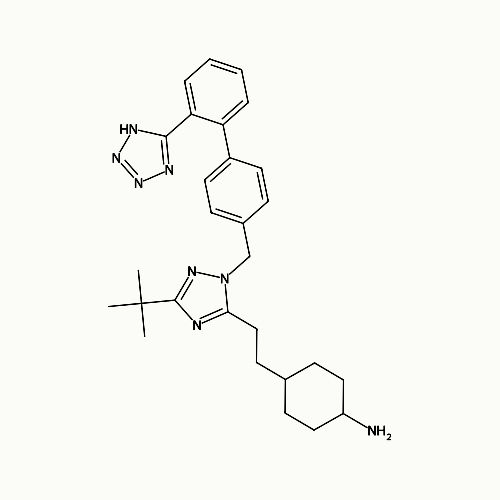 CC(C)(C)c1nc(CCC2CCC(N)CC2)n(Cc2ccc(-c3ccccc3-c3nnn[nH]3)cc2)n1